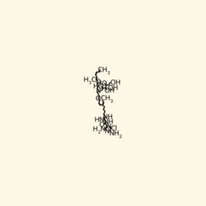 CC/C=C\C=C(/C)OCCCN(CCOC/C=C\C(=C/CC)CCCCNC(=N)NC(=O)c1nc(Cl)c(N)nc1N)CC(O)C(O)C(O)C(O)CO